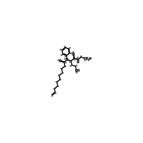 C=CCCCCCCCCC(=O)N(c1ccccc1)C(CCO)C(=O)NCC(=O)O